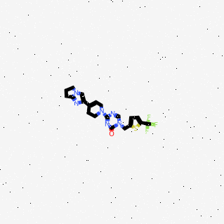 O=c1nc(N2CC=C(c3cn4c(n3)CCC4)CC2)ncn1Cc1ccc(C(F)(F)F)s1